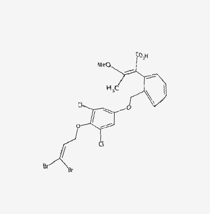 COC(C)=C(C(=O)O)c1ccccc1COc1cc(Cl)c(OCC=C(Br)Br)c(Cl)c1